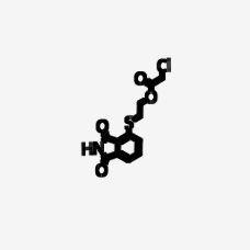 O=C(CCl)OCCSc1cccc2c1C(=O)NC2=O